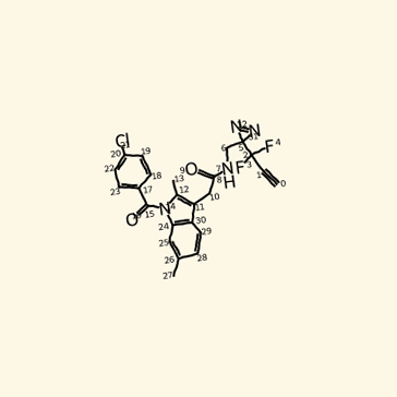 C#CC(F)(F)C1(CNC(=O)Cc2c(C)n(C(=O)c3ccc(Cl)cc3)c3cc(C)ccc23)N=N1